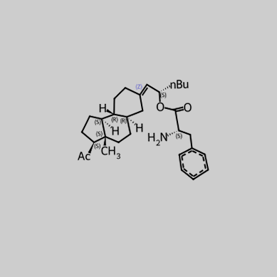 CCCC[C@@H](/C=C1/CC[C@@H]2[C@H](CC[C@]3(C)[C@@H](C(C)=O)CC[C@@H]23)C1)OC(=O)[C@@H](N)Cc1ccccc1